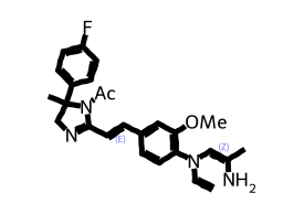 C=CN(/C=C(/C)N)c1ccc(/C=C/C2=NCC(C)(c3ccc(F)cc3)N2C(C)=O)cc1OC